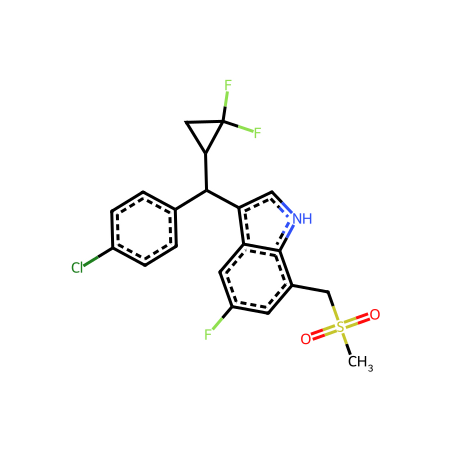 CS(=O)(=O)Cc1cc(F)cc2c(C(c3ccc(Cl)cc3)C3CC3(F)F)c[nH]c12